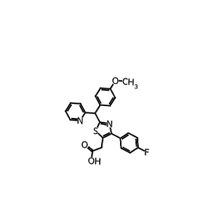 COc1ccc(C(c2ccccn2)c2nc(-c3ccc(F)cc3)c(CC(=O)O)s2)cc1